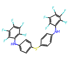 Fc1c(F)c(F)c(Nc2ccc(Sc3ccc(Nc4c(F)c(F)c(F)c(F)c4F)cc3)cc2)c(F)c1F